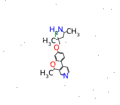 CC(N)CC(C)(F)COc1ccc2c(c1)OC(C)c1cnccc1-2